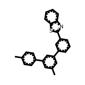 Cc1ccc(-c2cc(C)cc(-c3cccc(-c4nc5ccccc5s4)c3)c2)cc1